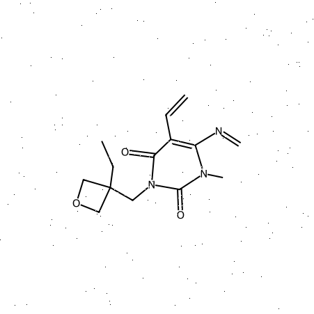 C=Cc1c(N=C)n(C)c(=O)n(CC2(CC)COC2)c1=O